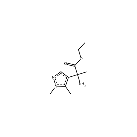 CCOC(=O)C(C)(N)c1cnn(C)c1C